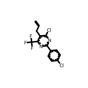 C=CCc1c(Cl)nc(-c2ccc(Cl)cc2)nc1C(F)(F)F